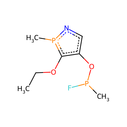 CCOc1c(OP(C)F)cnp1C